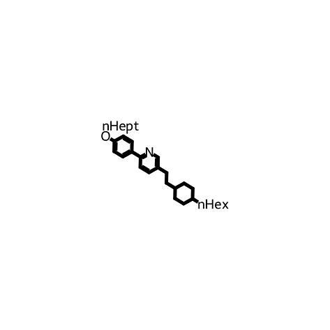 CCCCCCCOc1ccc(-c2ccc(CCC3CCC(CCCCCC)CC3)cn2)cc1